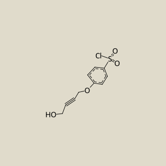 O=S(=O)(Cl)c1ccc(OCC#CCO)cc1